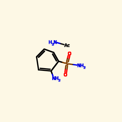 CC(N)=O.Nc1ccccc1S(N)(=O)=O